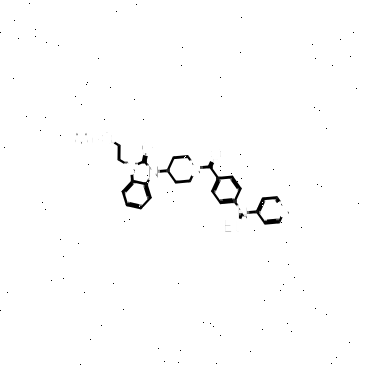 CCN(c1ccncc1)c1ccc(C(=O)N2CCC(n3c(=O)n(CCOC)c4ccccc43)CC2)cc1